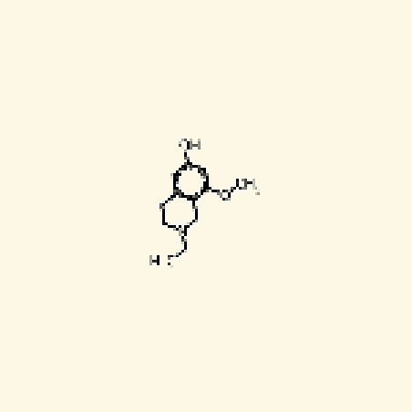 CCN1CCc2cc(O)cc(OC)c2C1